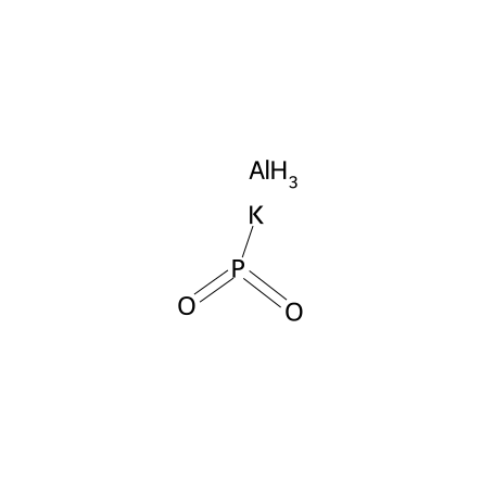 O=[P](=O)[K].[AlH3]